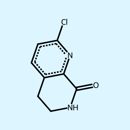 O=C1NCCc2ccc(Cl)nc21